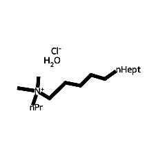 CCCCCCCCCCCC[N+](C)(C)CCC.O.[Cl-]